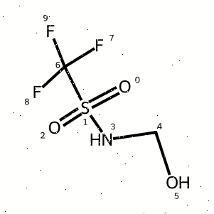 O=S(=O)(NCO)C(F)(F)F